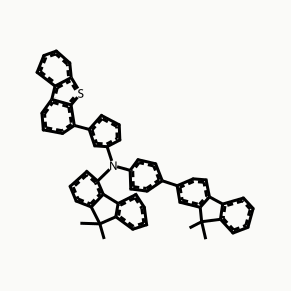 CC1(C)c2ccccc2-c2ccc(-c3ccc(N(c4cccc(-c5cccc6c5sc5ccccc56)c4)c4cccc5c4-c4ccccc4C5(C)C)cc3)cc21